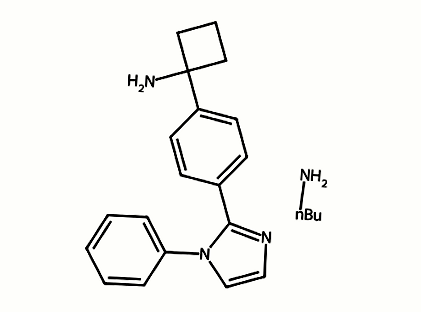 CCCCN.NC1(c2ccc(-c3nccn3-c3ccccc3)cc2)CCC1